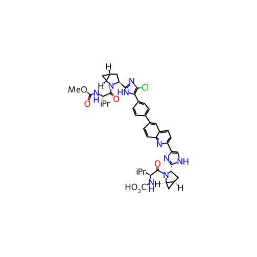 COC(=O)N[C@H](C(=O)N1[C@@H]2C[C@@H]2C[C@H]1c1nc(Cl)c(-c2ccc(-c3ccc4nc(-c5c[nH]c([C@@H]6C[C@H]7C[C@H]7N6C(=O)[C@@H](NC(=O)O)C(C)C)n5)ccc4c3)cc2)[nH]1)C(C)C